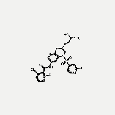 C[C@@H](O)CC[C@@H]1Cc2ncc(NC(=O)c3c(Cl)cccc3Cl)cc2N(S(=O)(=O)c2cccc(Cl)c2)C1